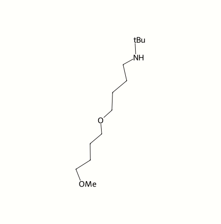 COCCCCOCCCCNC(C)(C)C